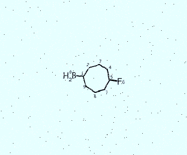 BC1CCCC(F)CCC1